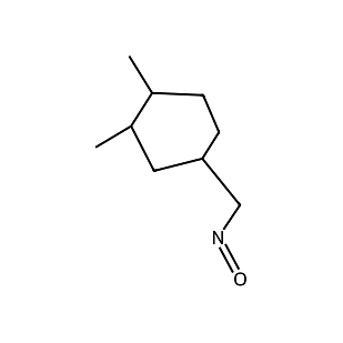 CC1CCC(CN=O)CC1C